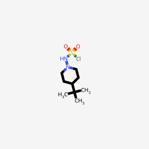 CC(C)(C)C1CCN(NS(=O)(=O)Cl)CC1